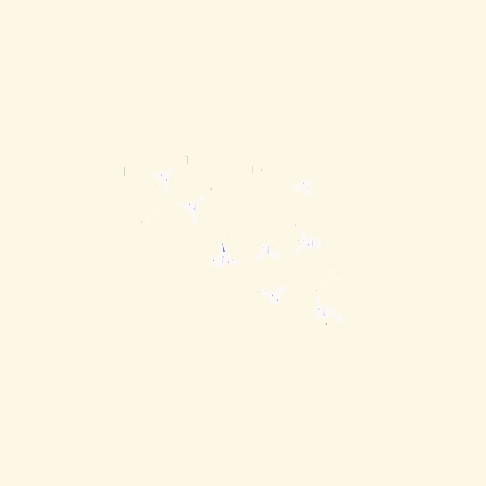 Cc1cc(Nc2nc(N[C@@H]3CCCN(C(=O)N(C)C)C3)cnc2C(N)=O)sn1